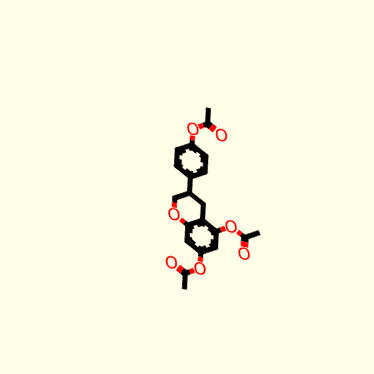 CC(=O)Oc1ccc(C2COc3cc(OC(C)=O)cc(OC(C)=O)c3C2)cc1